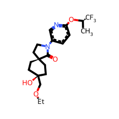 CCOC[C@]1(O)CC[C@]2(CCN(c3ccc(O[C@@H](C)C(F)(F)F)nc3)C2=O)CC1